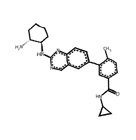 Cc1ccc(C(=O)NC2CC2)cc1-c1ccc2nc(N[C@@H]3CCCC[C@H]3N)ncc2c1